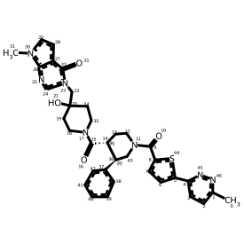 Cc1ccc(-c2ccc(C(=O)N3CC[C@@H](C(=O)N4CCC(O)(Cn5cnc6c(ccn6C)c5=O)CC4)[C@H](c4ccccc4)C3)s2)nn1